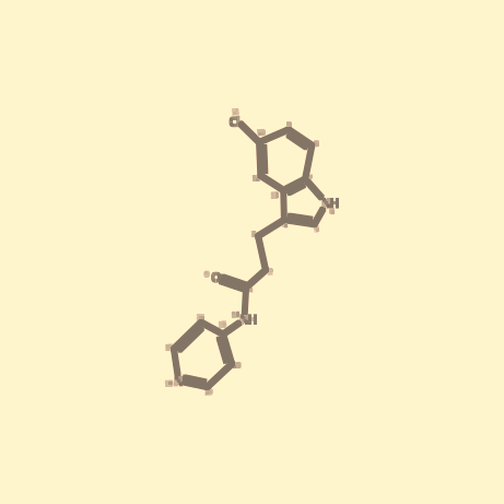 O=C(CCc1c[nH]c2ccc(Cl)cc12)Nc1ccncc1